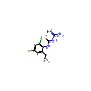 CCc1cc(F)cc(Br)c1NC(=S)NC(=N)N